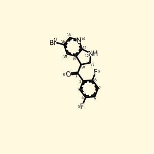 O=C(c1cc(F)ccc1F)C1CNc2ncc(Br)cc21